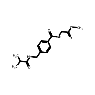 CNC(=O)CNC(=O)c1ccc(CNC(=O)C(C)C)cc1